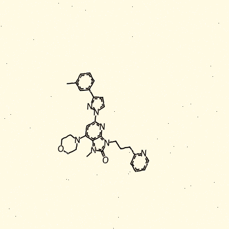 Cc1cccc(-c2ccn(-c3cc(N4CCOCC4)c4c(n3)n(CCCc3ccccn3)c(=O)n4C)n2)c1